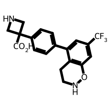 O=C(O)C1(c2ccc(-c3cc(C(F)(F)F)cc4c3CCNO4)cc2)CNC1